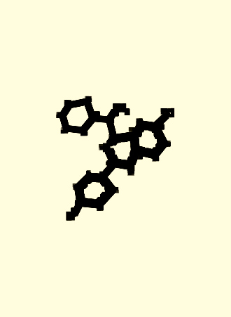 NC(c1nc(-c2ccc(Br)cc2)nc2ccc(Cl)cc12)C1CCCCC1